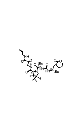 C=CCNC(=O)C(=O)CNC(=O)[C@@H]1[C@@H]2[C@H](CN1C(=O)[C@@H](NC(=O)N[C@H](CN1CCCOC1=O)C(C)(C)C)C(C)(C)C)C2(C)C